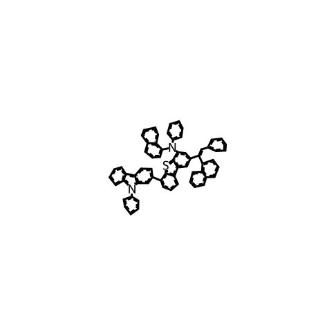 C(=C(\c1cc(N(c2ccccc2)c2cccc3ccccc23)c2sc3c(-c4ccc5c6ccccc6n(-c6ccccc6)c5c4)cccc3c2c1)c1cccc2ccccc12)/c1ccccc1